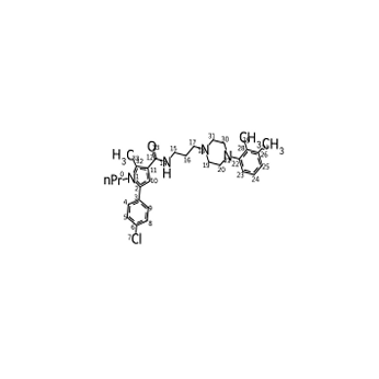 CCCn1c(-c2ccc(Cl)cc2)cc(C(=O)NCCCN2CCN(c3cccc(C)c3C)CC2)c1C